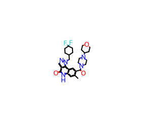 Cc1cc2[nH]c(=O)c3cnn(CC4CCC(F)(F)CC4)c3c2cc1C(=O)N1CCN(C2CCOCC2)CC1